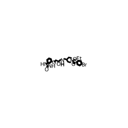 CCc1cc(Br)ccc1S(=O)(=O)N1CCC(CNC[C@@H](O)COc2cccc3[nH]c(=O)[nH]c23)CC1